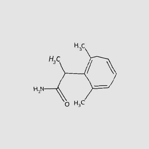 Cc1cccc(C)c1C(C)C(N)=O